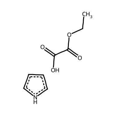 CCOC(=O)C(=O)O.c1cc[nH]c1